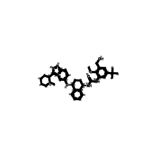 COc1c(CO)cc(C(C)(C)C)cc1NC(=O)N[C@H]1CC[C@@H](Oc2ccc3nnc(C4CCCCN4C)n3c2)c2ccccc21